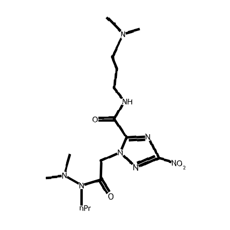 CCCN(C(=O)Cn1nc([N+](=O)[O-])nc1C(=O)NCCCN(C)C)N(C)C